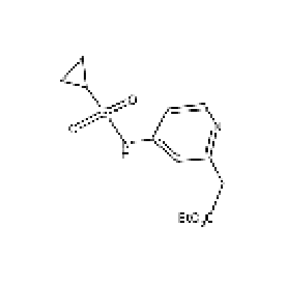 CCOC(=O)Cc1cc(NS(=O)(=O)C2CC2)ccn1